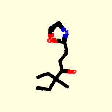 CCC(C)(CC)C(=O)CCc1ncco1